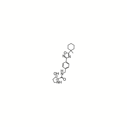 CC1(c2nc(-c3ccc(CNC(=O)[C@H]4NCC[C@@H]4O)cc3)no2)CCCCC1